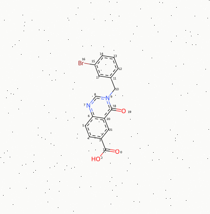 O=C(O)c1ccc2ncn(Cc3cccc(Br)c3)c(=O)c2c1